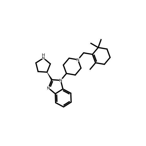 CC1=C(CN2CCC(n3c([C@H]4CCNC4)nc4ccccc43)CC2)C(C)(C)CCC1